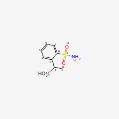 CC(C(=O)O)c1ccccc1S(N)(=O)=O